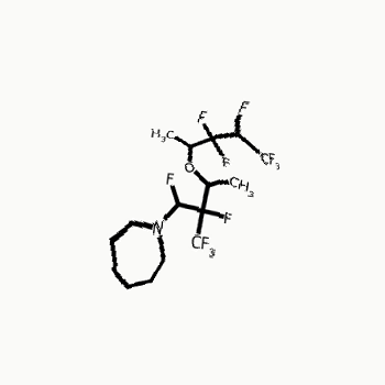 CC(OC(C)C(F)(C(F)N1CCCCCC1)C(F)(F)F)C(F)(F)C(F)C(F)(F)F